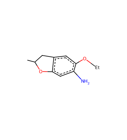 CCOc1cc2c(cc1N)OC(C)C2